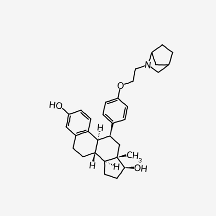 C[C@]12C[C@H](c3ccc(OCCN4CC5CCC4C5)cc3)[C@@H]3c4ccc(O)cc4CC[C@H]3[C@@H]1CC[C@@H]2O